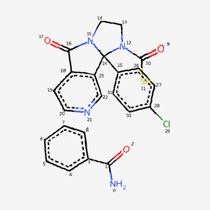 NC(=O)c1ccccc1.O=C(S)N1CCN2C(=O)c3ccncc3C12c1ccc(Cl)cc1